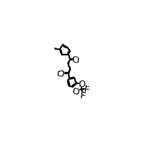 Cc1cccc(C(=O)CCC(=O)c2ccc3c(c2)OC(F)(F)O3)c1